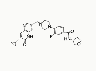 O=C(NC1CCOC1)c1ccc(N2CCN(Cc3cnc4cc(C5CC5)c(=O)[nH]c4c3)CC2)c(F)c1